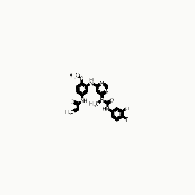 C=CC(=O)Nc1ccc(OC)c(Nc2cc(N(C)C(=O)Nc3ccc(F)c(Cl)c3)ncn2)c1